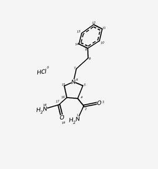 Cl.NC(=O)C1CN(CCc2ccccc2)CC1C(N)=O